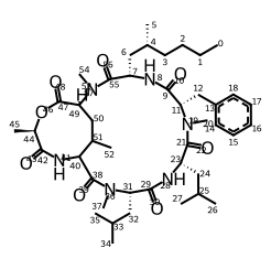 CCCC[C@@H](C)C[C@@H]1NC(=O)[C@H](Cc2ccccc2)N(C)C(=O)[C@H](CC(C)C)NC(=O)[C@H](CC(C)C)N(C)C(=O)C2NC(=O)[C@@H](C)OC(=O)[C@H](CC2C)N(C)C1=O